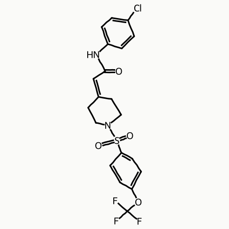 O=C(C=C1CCN(S(=O)(=O)c2ccc(OC(F)(F)F)cc2)CC1)Nc1ccc(Cl)cc1